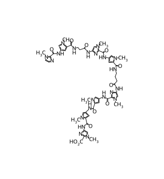 Cn1cc(NC(=O)c2nc(NC(=O)CCNC(=O)c3cc(NC(=O)c4nccn4C)cn3C)cn2C)cc1C(=O)NCCCC(=O)Nc1cn(C)c(C(=O)Nc2cc(C(=O)Nc3cc(C(=O)Nc4cn(C)c(C(=O)O)n4)n(C)c3)n(C)c2)n1